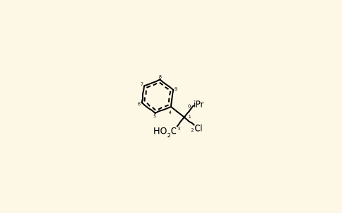 CC(C)C(Cl)(C(=O)O)c1ccccc1